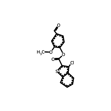 COc1cc(C=O)ccc1OC(=O)c1sc2ccccc2c1Cl